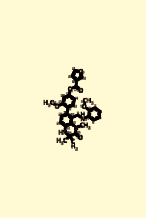 COc1ccccc1NCc1c(-c2ccc(OC(=O)c3ccoc3)cc2OC)ccc2c1N(C)C(=O)C(C)(C)N2